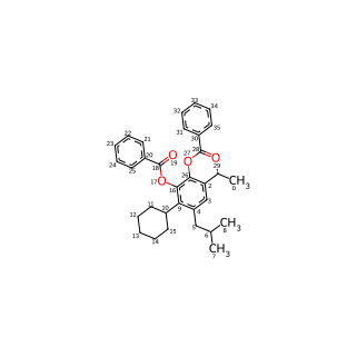 CCc1cc(CC(C)C)c(C2CCCCC2)c(OC(=O)c2ccccc2)c1OC(=O)c1ccccc1